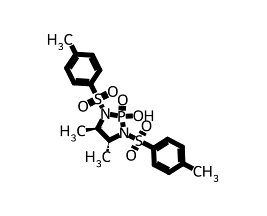 Cc1ccc(S(=O)(=O)N2[C@H](C)[C@@H](C)N(S(=O)(=O)c3ccc(C)cc3)P2(=O)O)cc1